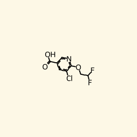 O=C(O)c1cnc(OCC(F)F)c(Cl)c1